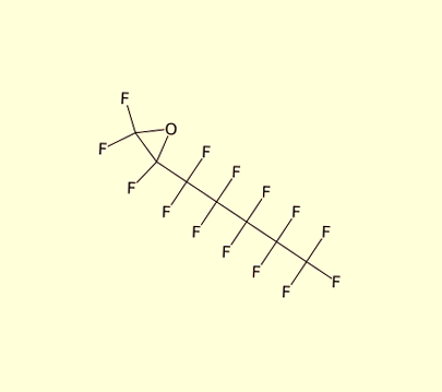 FC(F)(F)C(F)(F)C(F)(F)C(F)(F)C(F)(F)C1(F)OC1(F)F